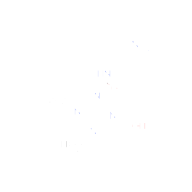 NCCCCNC(=O)CN1CCN(CCO)CCN(CC(=O)O)CCN(CC(=O)O)CC1